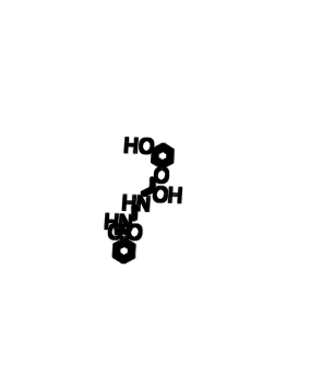 O=S(=O)(NCCNCC(O)COc1cccc(O)c1)c1ccccc1